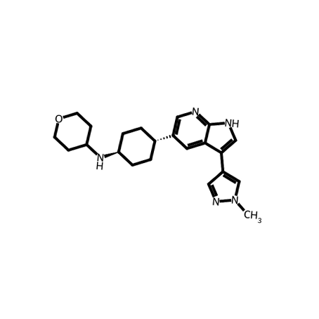 Cn1cc(-c2c[nH]c3ncc([C@H]4CC[C@H](NC5CCOCC5)CC4)cc23)cn1